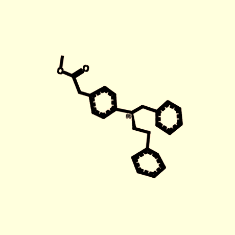 COC(=O)Cc1ccc([C@H](CCc2ccccc2)Cc2ccccc2)cc1